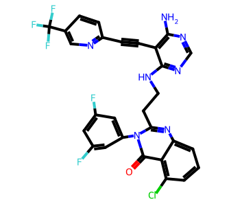 Nc1ncnc(NCCc2nc3cccc(Cl)c3c(=O)n2-c2cc(F)cc(F)c2)c1C#Cc1ccc(C(F)(F)F)cn1